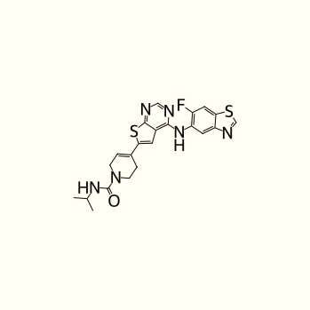 CC(C)NC(=O)N1CC=C(c2cc3c(Nc4cc5ncsc5cc4F)ncnc3s2)CC1